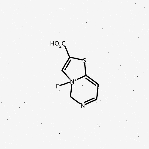 O=C(O)C1=C[N+]2(F)CN=CC=C2S1